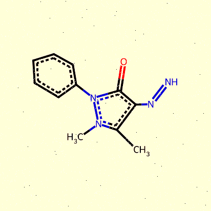 Cc1c(N=N)c(=O)n(-c2ccccc2)n1C